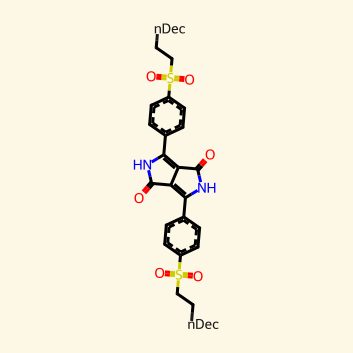 CCCCCCCCCCCCS(=O)(=O)c1ccc(C2=C3C(=O)NC(c4ccc(S(=O)(=O)CCCCCCCCCCCC)cc4)=C3C(=O)N2)cc1